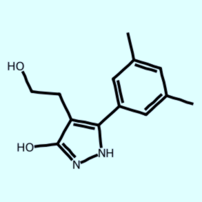 Cc1cc(C)cc(-c2[nH]nc(O)c2CCO)c1